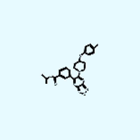 Cc1ccc(SC2CCN(c3nc4nonc4nc3-c3cccc(C(=O)OC(C)C)c3)CC2)cc1